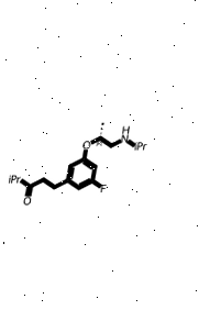 CC(C)NC[C@@H](C)Oc1cc(F)cc(CCC(=O)C(C)C)c1